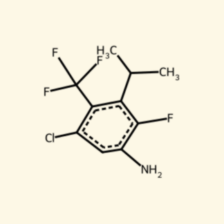 CC(C)c1c(F)c(N)cc(Cl)c1C(F)(F)F